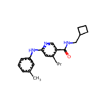 Cc1cccc(Nc2cc(C(C)C)c(C(=O)NCC3CCC3)cn2)c1